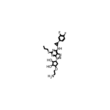 CCCSc1nc(N[C@@H]2C[C@H]2c2ccc(F)c(F)c2)c2nnn([C@@H]3CC(OCCN)C(O)C3O)c2n1